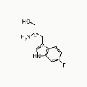 N[C@@H](CO)Cc1c[nH]c2cc(F)ccc12